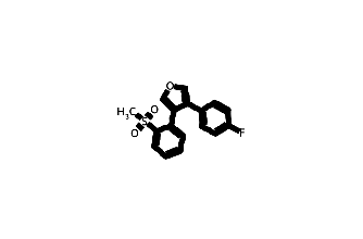 CS(=O)(=O)c1ccccc1-c1cocc1-c1ccc(F)cc1